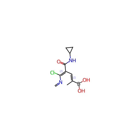 C=N/C(Cl)=C(\C=C(/C)B(O)O)C(=O)NC1CC1